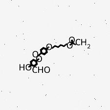 C=CC(=O)OCCCCCCOc1ccc(C(=O)Oc2ccc(O)c(C=O)c2)cc1